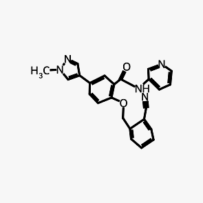 Cn1cc(-c2ccc(OCc3ccccc3C#N)c(C(=O)Nc3cccnc3)c2)cn1